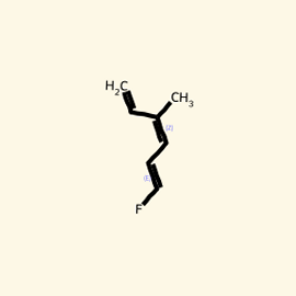 C=C/C(C)=C\C=C\F